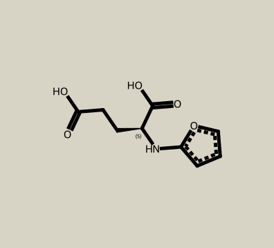 O=C(O)CC[C@H](Nc1ccco1)C(=O)O